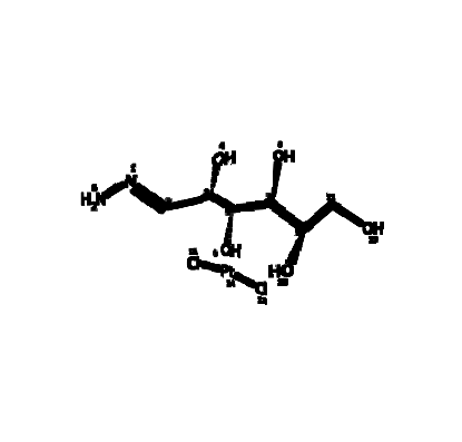 NN=C[C@H](O)[C@@H](O)[C@@H](O)[C@H](O)CO.[Cl][Pt][Cl]